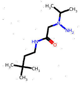 CC(C)N(N)CC(=O)NCCC(C)(C)C